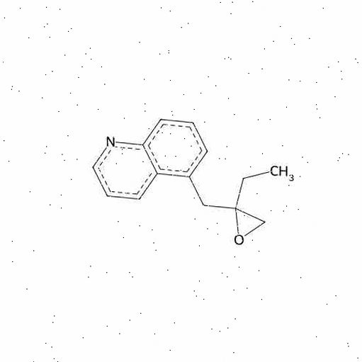 CCC1(Cc2cccc3ncccc23)CO1